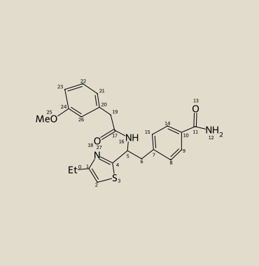 CCc1csc(C(Cc2ccc(C(N)=O)cc2)NC(=O)Cc2cccc(OC)c2)n1